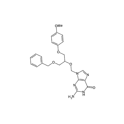 COc1ccc(OCC(COCc2ccccc2)OCn2cnc3c(=O)[nH]c(N)nc32)cc1